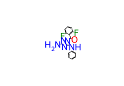 Nc1nc(Nc2ccccc2)n(C(=O)c2c(F)cccc2F)n1